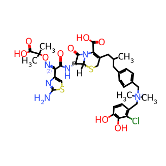 CC(CC1=C(C(=O)O)N2C(=O)[C@@H](NC(=O)/C(=N\OC(C)(C)C(=O)O)c3csc(N)n3)[C@H]2SC1)Cc1ccc(C[N+](C)(C)Cc2ccc(O)c(O)c2Cl)cc1